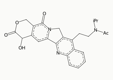 CC(=O)N(CCc1c2c(nc3ccccc13)-c1cc3c(c(=O)n1C2)COC(=O)C3O)C(C)C